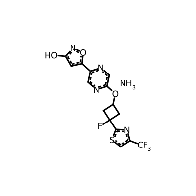 N.Oc1cc(-c2cnc(OC3CC(F)(c4nc(C(F)(F)F)cs4)C3)cn2)on1